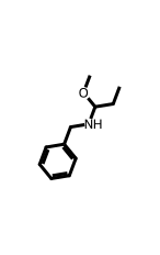 CCC(NCc1ccccc1)OC